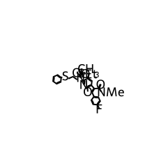 CCc1cc2c(C(=O)NC)c(-c3ccc(F)cc3)oc2nc1N(CCCSc1ccccc1)S(C)(=O)=O